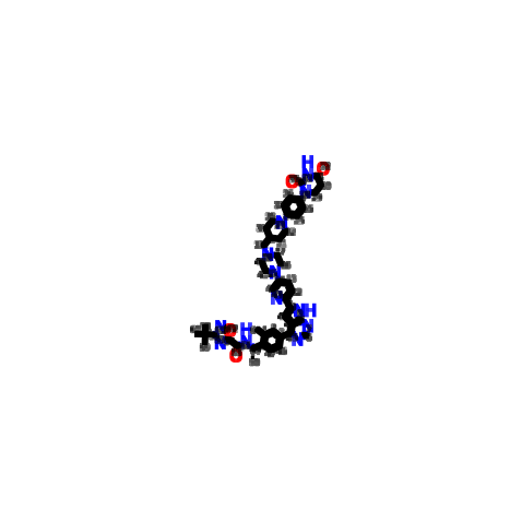 Cc1cc(-c2ncnc3[nH]c(-c4ccc(N5CCN(CC6CCN(c7ccc(N8CCC(=O)NC8=O)cc7)CC6)CC5)cn4)cc23)ccc1[C@H](C)NC(=O)c1nc(C(C)(C)C)no1